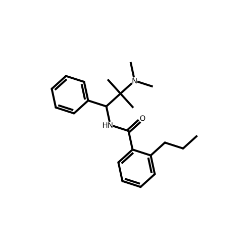 CCCc1ccccc1C(=O)NC(c1ccccc1)C(C)(C)N(C)C